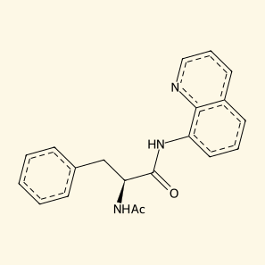 CC(=O)N[C@@H](Cc1ccccc1)C(=O)Nc1cccc2cccnc12